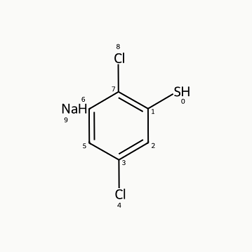 Sc1cc(Cl)ccc1Cl.[NaH]